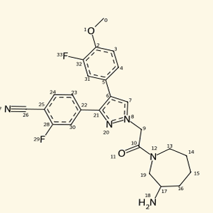 COc1ccc(-c2cn(CC(=O)N3CCCCC(N)C3)nc2-c2ccc(C#N)c(F)c2)cc1F